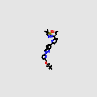 CCC[C@@H](N[S@+]([O-])C(C)(C)C)c1cccc(-c2ccc3cn(-c4cccc(CO[Si](C)(C)C(C)(C)C)n4)nc3c2)n1